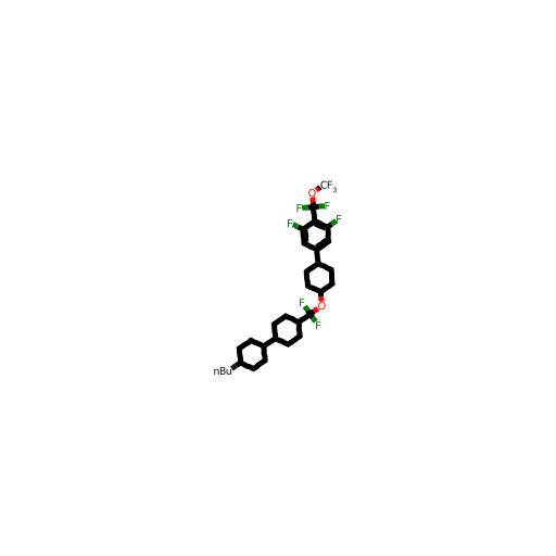 CCCCC1CCC(C2CCC(C(F)(F)OC3CCC(c4cc(F)c(C(F)(F)OC(F)(F)F)c(F)c4)CC3)CC2)CC1